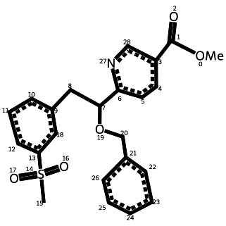 COC(=O)c1ccc(C(Cc2cccc(S(C)(=O)=O)c2)OCc2ccccc2)nc1